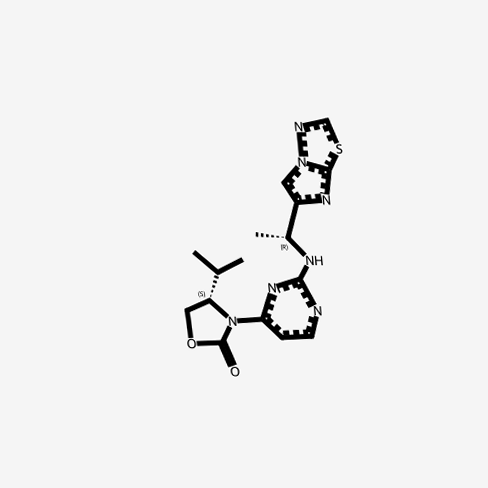 CC(C)[C@H]1COC(=O)N1c1ccnc(N[C@H](C)c2cn3ncsc3n2)n1